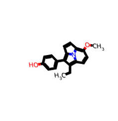 CCc1c(-c2ccc(O)cc2)c2ccc3c(OC)ccc1n32